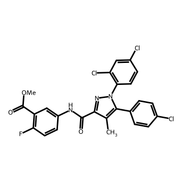 COC(=O)c1cc(NC(=O)c2nn(-c3ccc(Cl)cc3Cl)c(-c3ccc(Cl)cc3)c2C)ccc1F